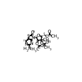 CC(=O)OC[C@H]1O[C@@H](n2c(=O)sc3cnc(N)nc32)[C@H](OC(C)=O)[C@@]1(C)OC(C)=O